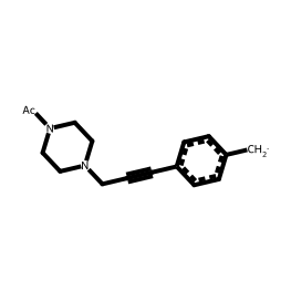 [CH2]c1ccc(C#CCN2CCN(C(C)=O)CC2)cc1